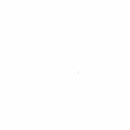 C=C(C)CCC(O)C(C)CC